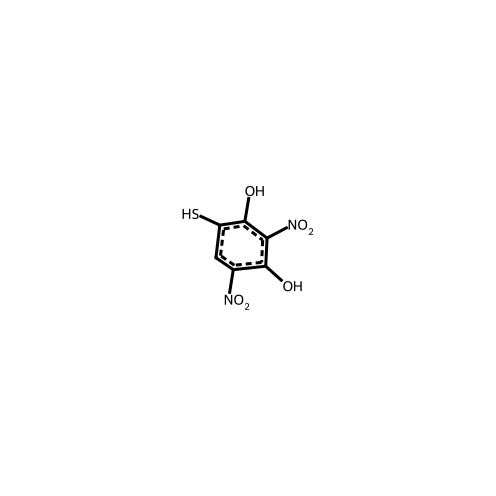 O=[N+]([O-])c1cc(S)c(O)c([N+](=O)[O-])c1O